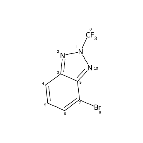 FC(F)(F)n1nc2cccc(Br)c2n1